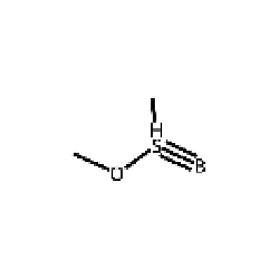 B#[SH](C)OC